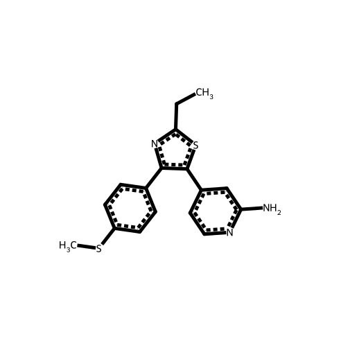 CCc1nc(-c2ccc(SC)cc2)c(-c2ccnc(N)c2)s1